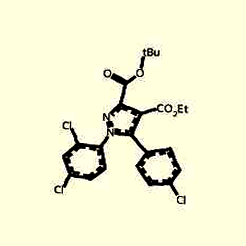 CCOC(=O)c1c(C(=O)OC(C)(C)C)nn(-c2ccc(Cl)cc2Cl)c1-c1ccc(Cl)cc1